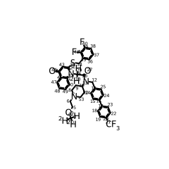 [2H]C([2H])([2H])OCCN1CCC(N(Cc2ccc(-c3ccc(C(F)(F)F)cc3)cc2)C(=O)C([2H])([2H])n2c(SCc3cccc(F)c3F)cc(=O)c3ccccc32)CC1